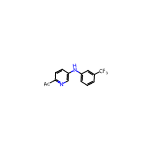 CC(=O)c1ccc(Nc2cccc(C(F)(F)F)c2)cn1